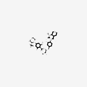 COC(=O)[C@H](Cc1ccc(-n2c(=O)c3ccncc3n(C)c2=O)c(OC)c1)NC(=O)c1c(F)cc(N2CCOC[C@@H]2C(F)(F)F)cc1F